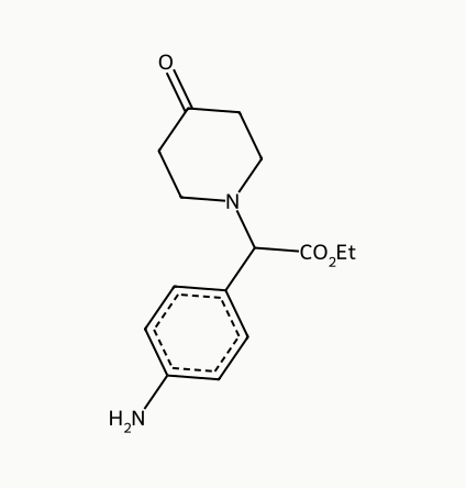 CCOC(=O)C(c1ccc(N)cc1)N1CCC(=O)CC1